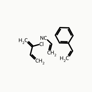 C=CC#N.C=CC(=C)Cl.C=Cc1ccccc1